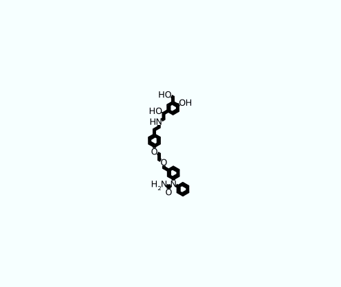 NC(=O)N(c1ccccc1)c1cccc(COCCOc2ccc(CCNC[C@H](O)c3ccc(O)c(CO)c3)cc2)c1